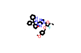 CC[C@H]1O[C@@H](n2cnc3c(NC(c4ccccc4)(c4ccccc4)c4ccccc4)ncnc32)[C@@H](OCc2ccc(OC)cc2)C1F